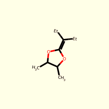 CCC(CC)=C1OC(C)C(C)O1